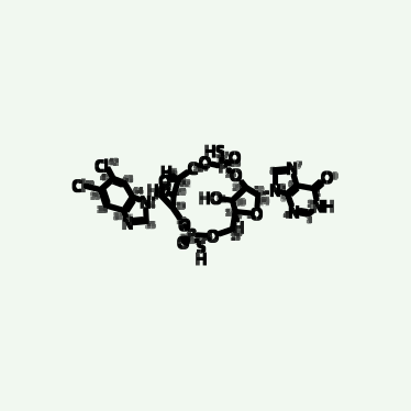 O=c1[nH]cnc2c1ncn2[C@@H]1O[C@@H]2COP(=O)(S)OC3C(O)[C@@H](COP(=O)(S)OC1C2O)O[C@H]3n1cnc2cc(Cl)c(Cl)cc21